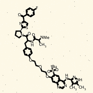 CNC(C)C(=O)NC(Cc1ccc(OCCOCCOc2cc3ncnc(Nc4n[nH]c(C)c4C)c3cc2S(=O)(=O)C(C)(C)C)cc1)C(=O)N1CCC[C@H]1c1nc(C(=O)c2ccc(F)cc2)cs1